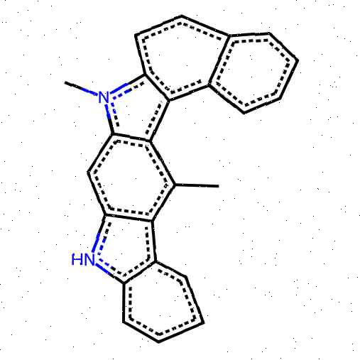 Cc1c2c(cc3c1c1c4ccccc4ccc1n3C)[nH]c1ccccc12